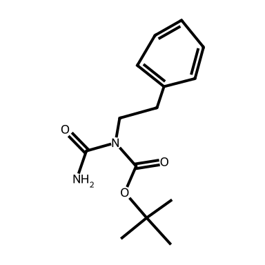 CC(C)(C)OC(=O)N(CCc1ccccc1)C(N)=O